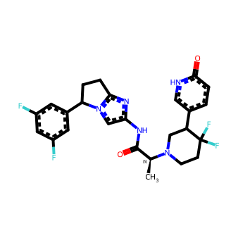 C[C@@H](C(=O)Nc1cn2c(n1)CCC2c1cc(F)cc(F)c1)N1CCC(F)(F)C(c2ccc(=O)[nH]c2)C1